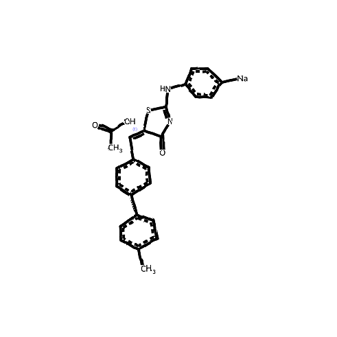 CC(=O)O.Cc1ccc(-c2ccc(/C=C3/SC(Nc4cc[c]([Na])cc4)=NC3=O)cc2)cc1